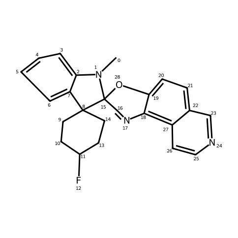 CN1c2ccccc2C2(CCC(F)CC2)C12C=Nc1c(ccc3cnccc13)O2